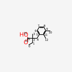 CCC(C)(Cc1cccc(C)c1C)C(=O)O